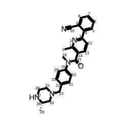 Cc1nc(-c2ccccc2C#N)ccc1C(=O)N(C)c1ccc(CN2CCN[C@@H](C)C2)cc1